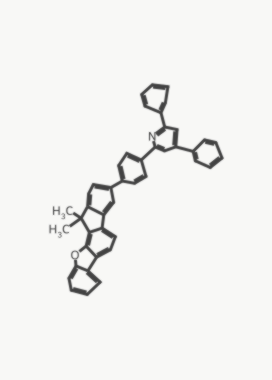 CC1(C)c2ccc(-c3ccc(-c4cc(-c5ccccc5)cc(-c5ccccc5)n4)cc3)cc2-c2ccc3c(oc4ccccc43)c21